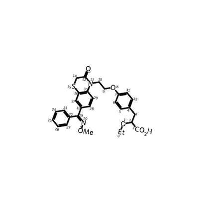 CCOC(Cc1ccc(OCCN2C(=O)CSc3cc(C(=NOC)c4ccccc4)ccc32)cc1)C(=O)O